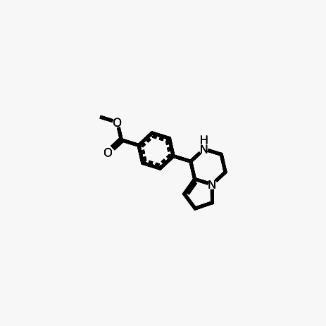 COC(=O)c1ccc(C2NCCN3CCC=C23)cc1